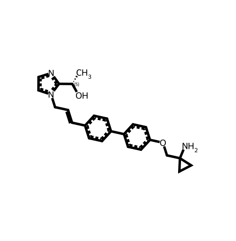 C[C@H](O)c1nccn1CC=Cc1ccc(-c2ccc(OCC3(N)CC3)cc2)cc1